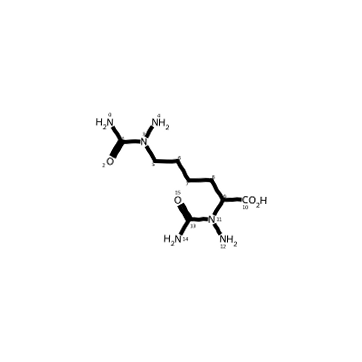 NC(=O)N(N)CCCCC(C(=O)O)N(N)C(N)=O